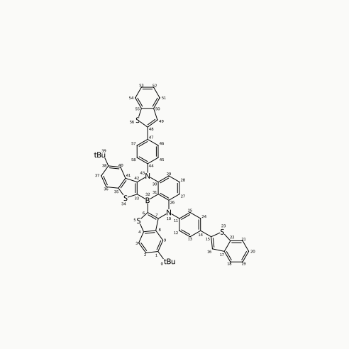 CC(C)(C)c1ccc2sc3c(c2c1)N(c1ccc(-c2cc4ccccc4s2)cc1)c1cccc2c1B3c1sc3ccc(C(C)(C)C)cc3c1N2c1ccc(-c2cc3ccccc3s2)cc1